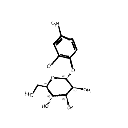 O=[N+]([O-])c1ccc(O[C@H]2O[C@H](CO)[C@@H](O)[C@H](O)[C@@H]2O)c(Cl)c1